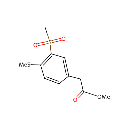 COC(=O)Cc1ccc(SC)c(S(C)(=O)=O)c1